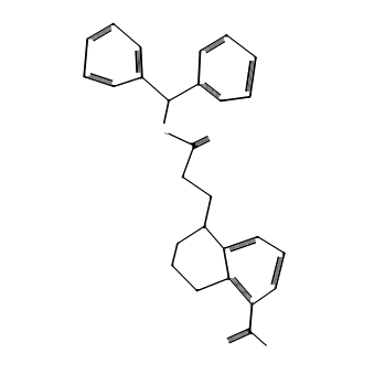 O=C(CCC1CCCc2c(C(=O)C(=O)O)cccc21)NC(c1ccccc1)c1ccccc1